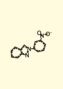 O=[N+]([O-])c1cccc(-n2cc3ccccc3n2)c1